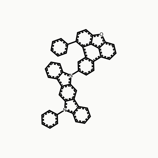 c1ccc(-c2ccc3oc4cccc5c6ccc(-n7c8ccccc8c8cc9c(cc87)c7ccccc7n9-c7ccccc7)cc6c2c3c45)cc1